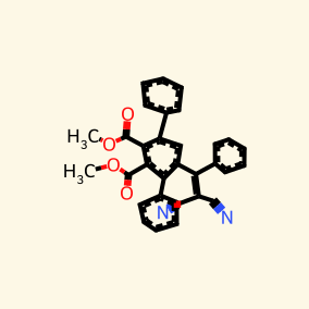 COC(=O)c1c(-c2ccccc2)cc(C(=C(C#N)C#N)c2ccccc2)c(-c2ccccc2)c1C(=O)OC